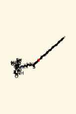 CC#CC#CC#CC#CC#CC#CC#CC#CC#CC#CC(=S)NCCCC/C=C/C[C@H]1C(OP(O)(=S)OC)[C@@H](COC)O[C@H]1n1ccc(=O)[nH]c1=O